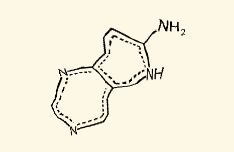 Nc1cc2ncncc2[nH]1